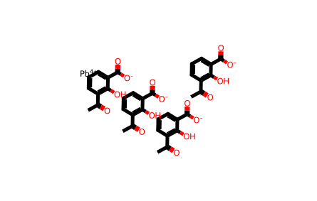 CC(=O)c1cccc(C(=O)[O-])c1O.CC(=O)c1cccc(C(=O)[O-])c1O.CC(=O)c1cccc(C(=O)[O-])c1O.CC(=O)c1cccc(C(=O)[O-])c1O.[Pb+4]